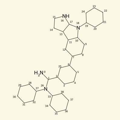 NC(C1CCCC(C2CCC3C(C2)C2CCNC2N3C2CCCCC2)C1)N(C1CCCCC1)C1CCCCC1